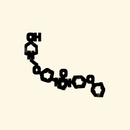 O=c1n(-c2ccc(OCCN3CCC(O)CC3)cc2)ccn1-c1ccc(Oc2ccccc2)cc1